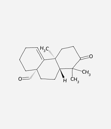 CC1(C)C(=O)CC[C@]2(C)C3=CCCC[C@]3(C=O)CC[C@@H]12